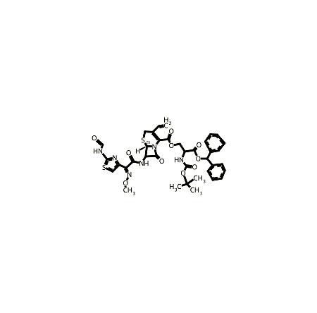 C=CC1=C(C(=O)OCC(NC(=O)OC(C)(C)C)C(=O)OC(c2ccccc2)c2ccccc2)N2C(=O)C(NC(=O)C(=NOC)c3csc(NC=O)n3)[C@@H]2SC1